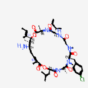 C/C=C(\C)[C@H]1OC(=O)[C@@H](C)NC(=O)[C@H](C(C)CC)NC(=O)CN(C)C(=O)[C@@H](Cc2ccc(Cl)cc2)N(C)C(=O)[C@H](C)NC(=O)[C@@H](CC(C)C)OC(=O)/C(C)=C/C[C@H](N)[C@@H]1C